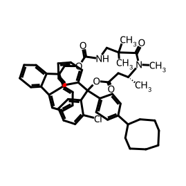 C[C@H](CC(=O)OC(c1ccccc1)(c1ccc(C2CCCCCCC2)cc1)c1ccccc1Cl)N(C)C(=O)C(C)(C)CNC(=O)OCC1c2ccccc2-c2ccccc21